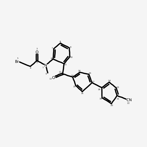 CN(C(=O)CBr)c1ccccc1C(=O)c1ccc(-c2ccc(C#N)cc2)cc1